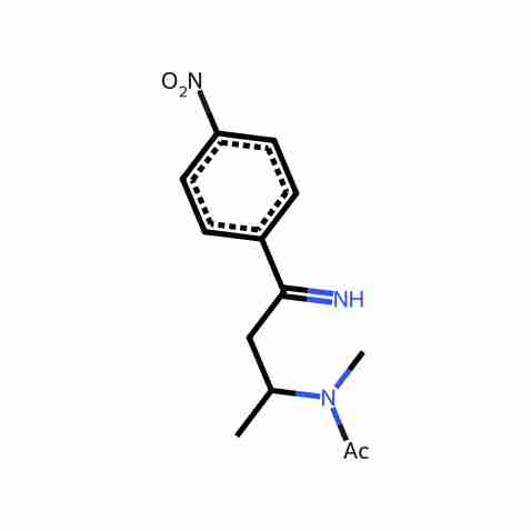 CC(=O)N(C)C(C)CC(=N)c1ccc([N+](=O)[O-])cc1